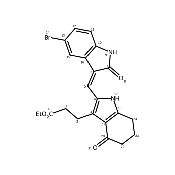 CCOC(=O)CCc1c(C=C2C(=O)Nc3ccc(Br)cc32)[nH]c2c1C(=O)CCC2